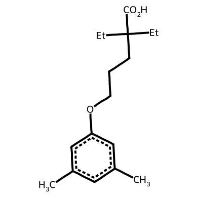 CCC(CC)(CCCOc1cc(C)cc(C)c1)C(=O)O